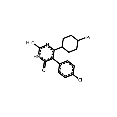 Cc1nc(C2CCC(C(C)C)CC2)c(-c2ccc(Cl)cc2)c(=O)[nH]1